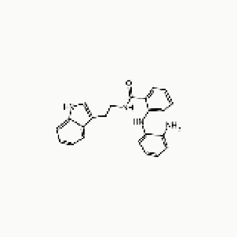 Nc1ccccc1Nc1ccccc1C(=O)NCCc1c[nH]c2ccccc12